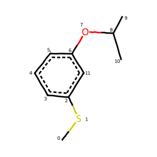 CSc1cc[c]c(OC(C)C)c1